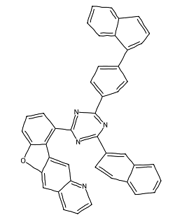 c1ccc2cc(-c3nc(-c4ccc(-c5cccc6ccccc56)cc4)nc(-c4cccc5oc6cc7cccnc7cc6c45)n3)ccc2c1